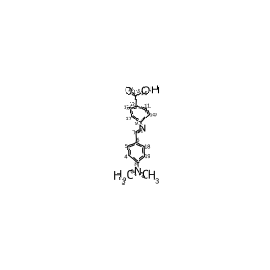 CN(C)c1ccc(/C=N/c2ccc(C(=O)O)cc2)cc1